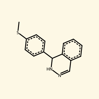 CSc1ccc(C2NN=Cc3ccccc32)cc1